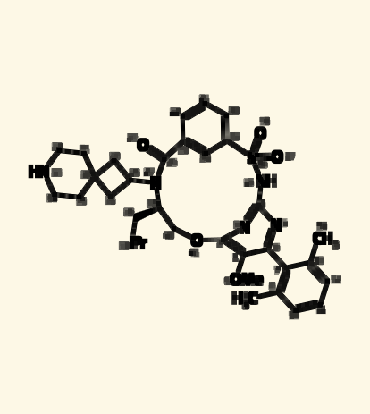 COc1c2nc(nc1-c1c(C)cccc1C)NS(=O)(=O)c1cccc(c1)C(=O)N(C1CC3(CCNCC3)C1)[C@H](CC(C)C)CO2